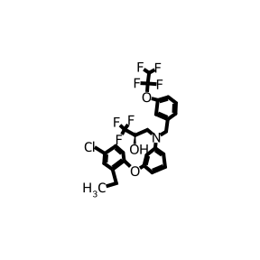 CCc1cc(Cl)ccc1Oc1cccc(N(Cc2cccc(OC(F)(F)C(F)F)c2)C[C@@H](O)C(F)(F)F)c1